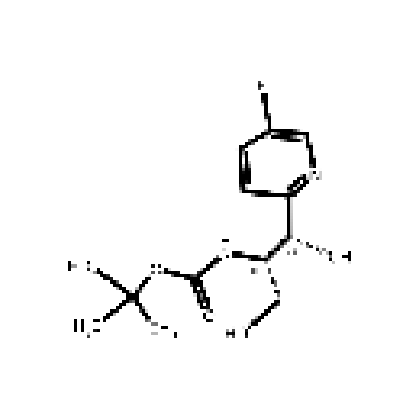 CC(C)(C)OC(=O)N[C@@H](CO)[C@@H](O)c1ccc(F)cn1